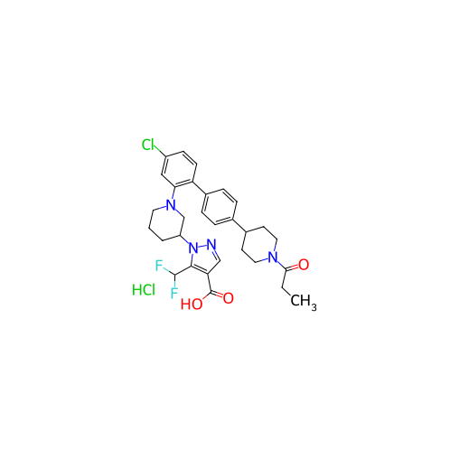 CCC(=O)N1CCC(c2ccc(-c3ccc(Cl)cc3N3CCCC(n4ncc(C(=O)O)c4C(F)F)C3)cc2)CC1.Cl